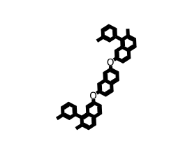 Cc1cccc(-c2c(C)ccc3ccc(Oc4ccc5ccc(Oc6ccc7ccc(C)c(-c8cccc(C)c8)c7c6)cc5c4)cc23)c1